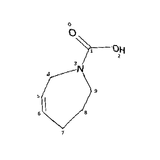 O=C(O)N1CC=CCCC1